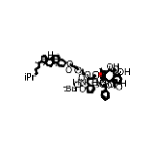 CC(=O)O[C@@]12CO[C@@H]1C[C@H](O)[C@@]1(C)C(=O)[C@H](O)C3=C(C)[C@@H](OC(=O)[C@H](OC(=O)COCC(=O)O[C@H]4CC[C@@]5(C)C(=CC[C@H]6[C@@H]7CC[C@H]([C@H](C)CCCC(C)C)[C@@]7(C)CC[C@@H]65)C4)[C@@H](NC(=O)OC(C)(C)C)c4ccccc4)C[C@@](O)([C@@H](OC(=O)c4ccccc4)C21C)C3(C)C